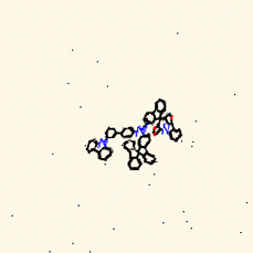 c1cc(-c2ccc(N(c3ccc4c(c3)C3(c5ccccc5-c5ccccc53)c3ccccc3-4)c3ccc4c(c3)C3(c5ccccc5-4)c4ccccc4-n4c5ccccc5c5cccc3c54)cc2)cc(-n2c3ccccc3c3ccccc32)c1